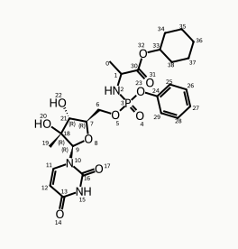 CC(NP(=O)(OC[C@H]1O[C@@H](n2ccc(=O)[nH]c2=O)[C@](C)(O)[C@@H]1O)Oc1ccccc1)C(=O)OC1CCCCC1